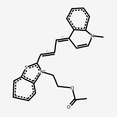 CC(=O)OCC[n+]1c(/C=C/C=C2\C=CN(C)c3ccccc32)sc2ccccc21